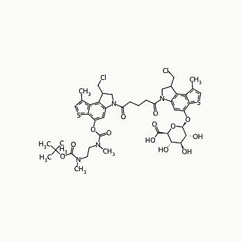 Cc1csc2c(OC(=O)N(C)CCN(C)C(=O)OC(C)(C)C)cc3c(c12)C(CCl)CN3C(=O)CCCC(=O)N1CC(CCl)c2c1cc(O[C@@H]1O[C@H](C(=O)O)[C@@H](O)[C@H](O)[C@H]1O)c1scc(C)c21